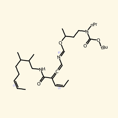 C/C=C\CCC(C)C(C)CNC(=O)C(=C=C/N=C/OC(C)CCN(CCC)C(=O)OC(C)(C)C)/C=C\C